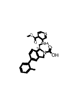 COC(=O)c1ccncc1NC[C@@H]1c2ccc(-c3ccccc3C)cc2CN1C(=O)O